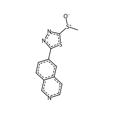 C[S+]([O-])c1nnc(-c2ccc3cnccc3c2)s1